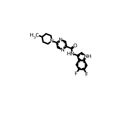 CC1CCN(c2cnc(C(=O)Nc3c[nH]c4cc(F)c(F)cc34)cn2)CC1